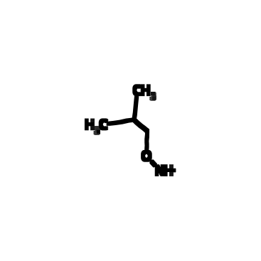 CC(C)CO[NH]